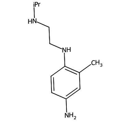 Cc1cc(N)ccc1NCCNC(C)C